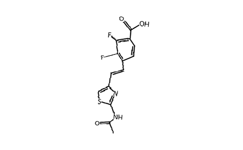 CC(=O)Nc1nc(C=Cc2ccc(C(=O)O)c(F)c2F)cs1